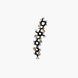 Cc1ccc2c(c1)SC1c3c(C)c4c(c(C)c3SC21)C1Sc2cc(-c3cc5sc(C)cc5s3)ccc2C1S4